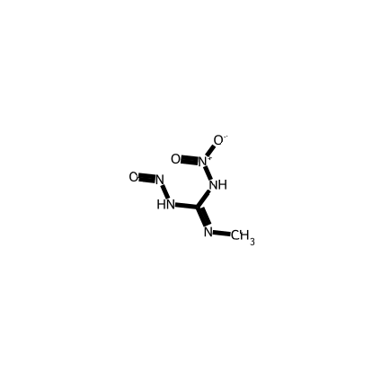 CN=C(NN=O)N[N+](=O)[O-]